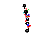 O=C(NS(=O)(=O)N1CC[C@H](OC2CCN(C(=O)OCc3ccccc3)CC2)C1)c1cc(Cl)c(OCC2CCCC2)cc1F